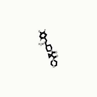 N[C@H](Cc1cc(F)c(F)cc1F)C1CCN(C(=O)C2(C(=O)N3CCOCC3)CC2)CC1